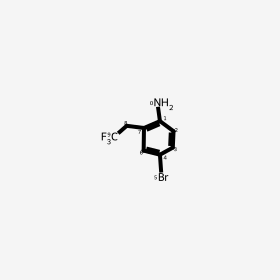 Nc1ccc(Br)cc1CC(F)(F)F